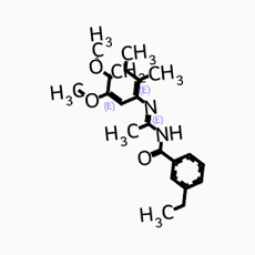 C=C(OC)\C(=C/C(/N=C(\C)NC(=O)c1cccc(CC)c1)=C(/C)CC)OC